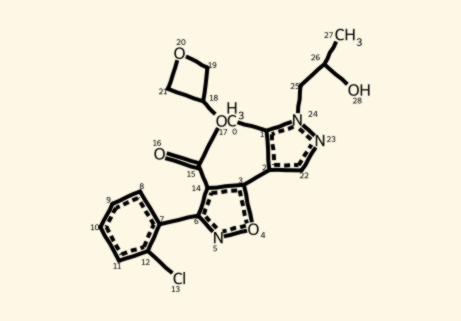 Cc1c(-c2onc(-c3ccccc3Cl)c2C(=O)OC2COC2)cnn1CC(C)O